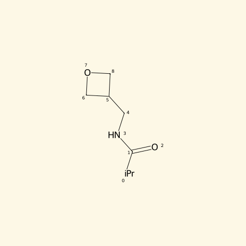 CC(C)C(=O)NCC1COC1